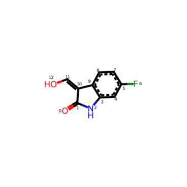 O=C1Nc2cc(F)ccc2C1=CO